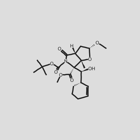 COC(=O)[C@]1([C@@H](O)[C@@H]2C=CCCC2)N(C(=O)OC(C)(C)C)C(=O)[C@@H]2C[C@H](OC)O[C@@]21C